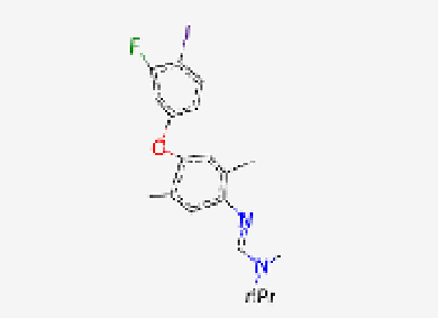 CCCN(C)/C=N/c1cc(C)c(Oc2ccc(I)c(F)c2)cc1C